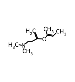 C=C(CCN(C)C)O/C(C)=C/C